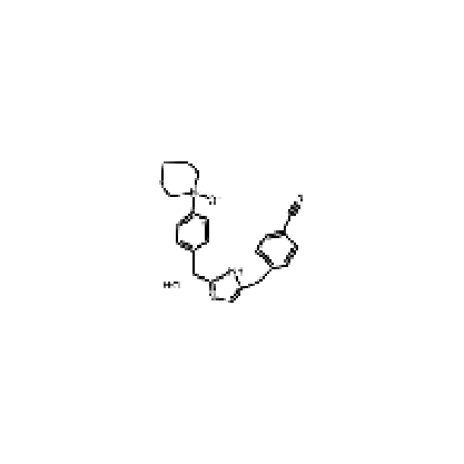 Cl.N#Cc1ccc(Cc2cnc(Cc3ccc([N+]4([O-])CCCCC4)cc3)[nH]2)cc1